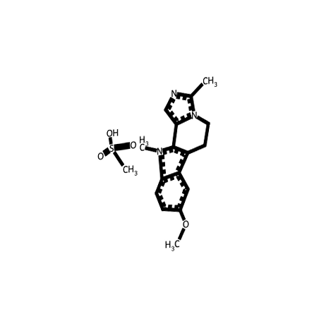 COc1ccc2c(c1)c1c(n2C)-c2cnc(C)n2CC1.CS(=O)(=O)O